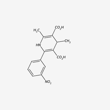 CC1=C(C(=O)O)C(C)C(C(=O)O)=C(c2cccc([N+](=O)[O-])c2)N1